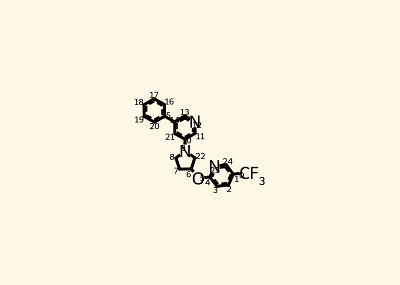 FC(F)(F)c1ccc(OC2CCN(c3cncc(-c4ccccc4)c3)C2)nc1